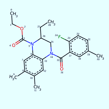 CCOC(=O)N1c2cc(C)c(C)cc2N(C(=O)c2cc(C)ccc2F)CC1CC